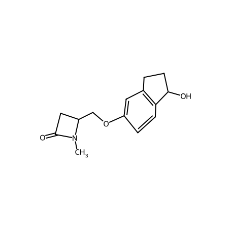 CN1C(=O)CC1COc1ccc2c(c1)CCC2O